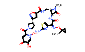 Nc1nc(/C(=N/OC2(C(=O)O)CC2)C(=O)N[C@@H]2C(=O)N(S(=O)(=O)O)[C@@H]2CNC(=O)c2cc([C@@H]3CCN(C(=O)c4cc(=O)c(O)cn4O)C3)no2)cs1